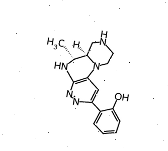 C[C@H]1Nc2nnc(-c3ccccc3O)cc2N2CCNC[C@H]12